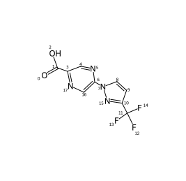 O=C(O)c1cnc(-n2ccc(C(F)(F)F)n2)cn1